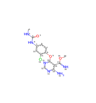 CNC(=O)Nc1ccc(Oc2ncnc(N)c2C(=N)OC)c(Cl)c1